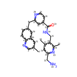 Cc1cnc2ccc(Cc3cc(C(=O)NCc4c(C)cc(CN)nc4C)ccn3)cc2c1